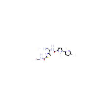 NCC(NC(=O)c1ccc(-c2ccc(C(F)(F)F)cn2)[nH]1)c1csc(C(=O)NCCO)n1